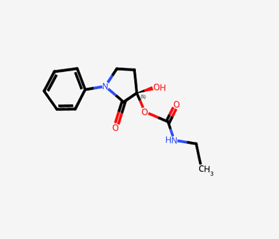 CCNC(=O)O[C@@]1(O)CCN(c2ccccc2)C1=O